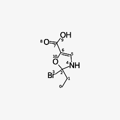 CCC1(Br)NC=C(C(=O)O)O1